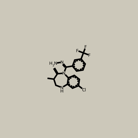 C=C1C(C)CNc2cc(Cl)ccc2N1/C(=N\N)c1cccc(C(F)(F)F)c1